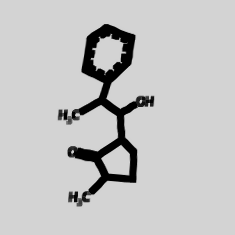 CC1CCC(C(O)C(C)c2ccccc2)C1=O